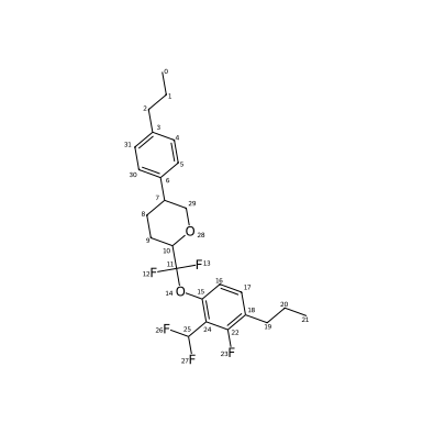 CCCc1ccc(C2CCC(C(F)(F)Oc3ccc(CCC)c(F)c3C(F)F)OC2)cc1